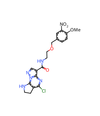 COc1ccc(COCCNC(=O)c2cnn3c4c(c(Cl)nc23)CCN4)cc1[N+](=O)[O-]